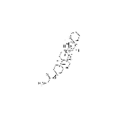 C[C@H]1[C@H]2[C@H](C[C@H]3[C@@H]4CC=C5C[C@@H](OC(=O)CN)CC[C@]5(C)[C@H]4CC[C@]23C)O[C@]12CCCCO2